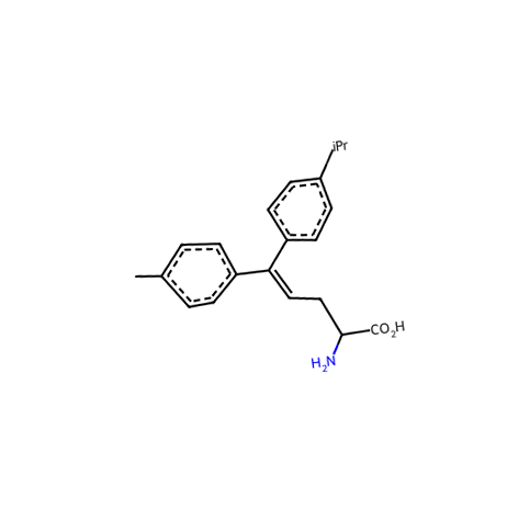 Cc1ccc(C(=CCC(N)C(=O)O)c2ccc(C(C)C)cc2)cc1